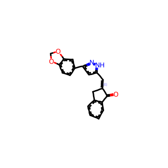 O=C1/C(=C/c2cc(-c3ccc4c(c3)OCO4)n[nH]2)Cc2ccccc21